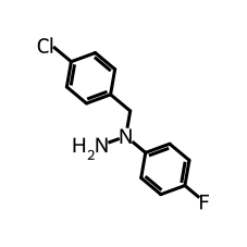 NN(Cc1ccc(Cl)cc1)c1ccc(F)cc1